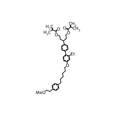 C=C(C)C(=O)OCCC(CCOC(=O)C(=C)C)c1ccc(-c2ccc(OCCCCCCc3ccc(CCOC)cc3)cc2CC)cc1